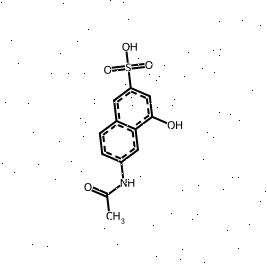 CC(=O)Nc1ccc2cc(S(=O)(=O)O)cc(O)c2c1